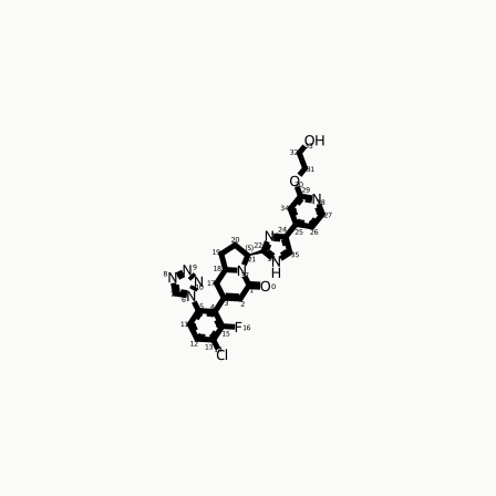 O=C1C=C(c2c(-n3cnnn3)ccc(Cl)c2F)CC2CC[C@@H](c3nc(-c4ccnc(OCCO)c4)c[nH]3)N12